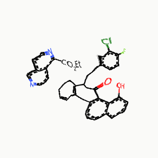 CCOC(=O)c1nccc2cnccc12.O=C1c2c(ccc3cccc(O)c23)C2=C(CCC=C2)C1Cc1ccc(F)c(Cl)c1